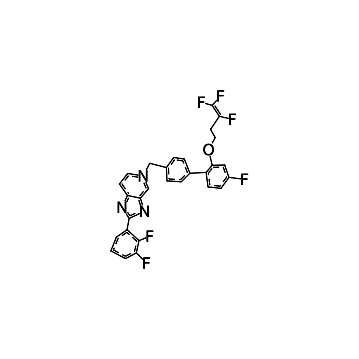 FC(F)=C(F)CCOc1cc(F)ccc1-c1ccc(Cn2ccc3nc(-c4cccc(F)c4F)nc-3c2)cc1